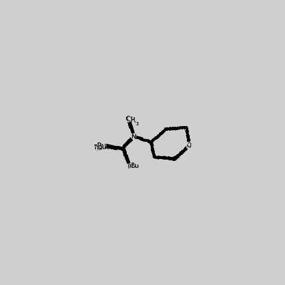 CCCCC(CCCC)N(C)C1CCOCC1